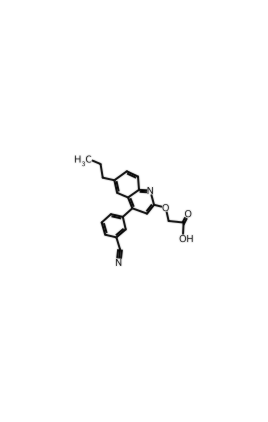 CCCc1ccc2nc(OCC(=O)O)cc(-c3cccc(C#N)c3)c2c1